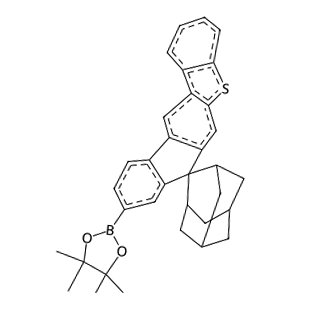 CC1(C)OB(c2ccc3c(c2)C2(c4cc5sc6ccccc6c5cc4-3)C3CC4CC(C3)CC2C4)OC1(C)C